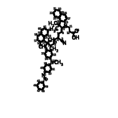 C=C(/C=C/C(C#N)=C/C=C1/N(CCC(=O)O)c2ccc3ccccc3c2C1(C)C)C(C)(Cc1ccc(N(C)c2ccc(/N=N/c3ccccc3)cc2)cc1)c1c(C)ccc2ccccc12